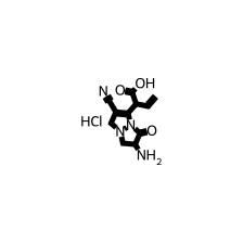 C=CC(C(=O)O)C1=C(C#N)CN2CC(N)C(=O)N12.Cl